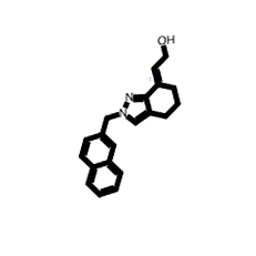 OC/C=C1\CCCc2cn(Cc3ccc4ccccc4c3)nc21